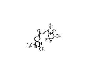 NC(CCC(=O)N1CCc2c(nc(C(F)(F)F)nc2C(F)(F)F)C1)N1CC(F)(F)CC(O)C1=O